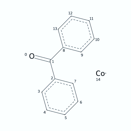 O=C(c1ccccc1)c1ccccc1.[Co]